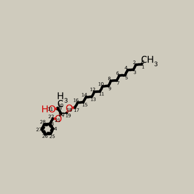 CCCCCCCCCCCCCCCCCCOC[C@@H](OCc1ccccc1)C(C)O